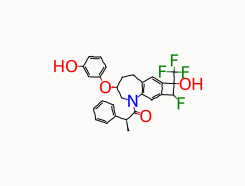 C[C@H](C(=O)N1C[C@@H](Oc2cccc(O)c2)CCc2cc3c(cc21)C(F)C3(O)C(F)(F)F)c1ccccc1